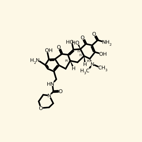 CN(C)[C@H]1C(O)=C(C(N)=O)C(=O)[C@@]2(O)C(O)=C3C(=O)c4c(O)c(N)cc(CNC(=O)N5CCOCC5)c4C[C@H]3C[C@@H]12